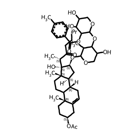 CC(=O)O[C@H]1CC[C@@]2(C)C(=CC[C@@H]3C2CC[C@@]2(C)[C@H]3C[C@H](OC3OCC(O)C(OC4OCC(O)C(O)C4OC(=O)c4ccc(C)cc4)C3C)[C@]2(O)[C@H](C)C(=O)CCC(C)C)C1